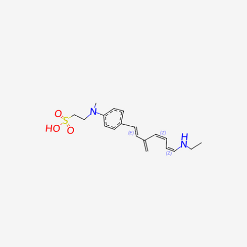 C=C(/C=C\C=C/NCC)/C=C/c1ccc(N(C)CCS(=O)(=O)O)cc1